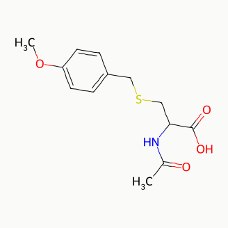 COc1ccc(CSCC(NC(C)=O)C(=O)O)cc1